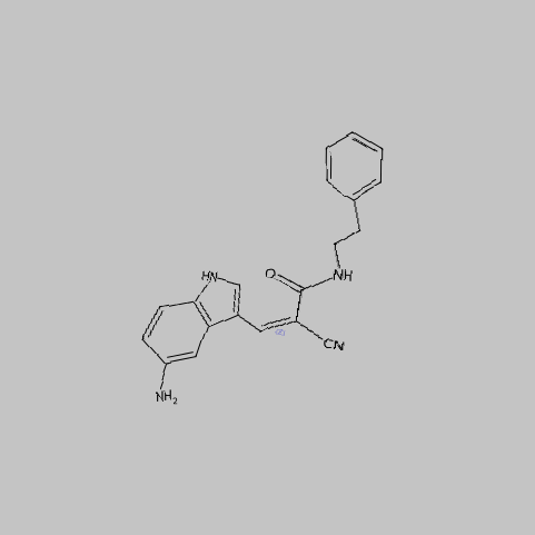 N#C/C(=C/c1c[nH]c2ccc(N)cc12)C(=O)NCCc1ccccc1